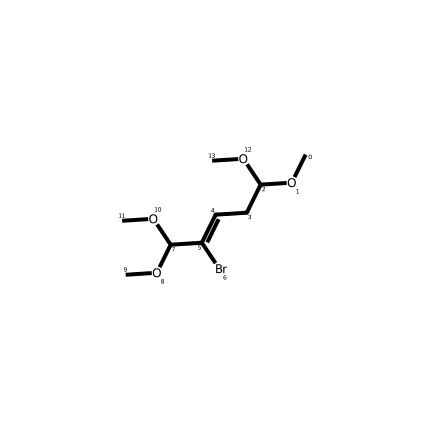 COC(CC=C(Br)C(OC)OC)OC